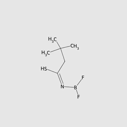 CC(C)(C)C/C(S)=N\B(F)F